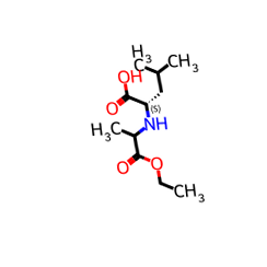 CCOC(=O)C(C)N[C@@H](CC(C)C)C(=O)O